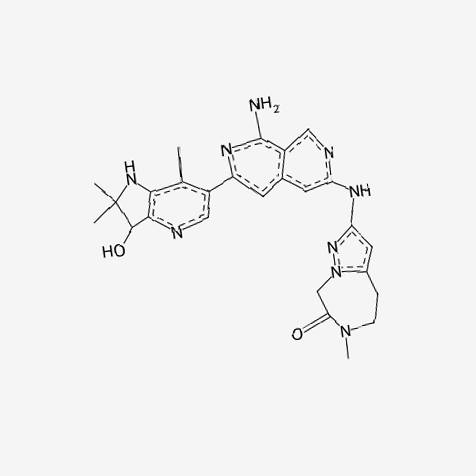 Cc1c(-c2cc3cc(Nc4cc5n(n4)CC(=O)N(C)CC5)ncc3c(N)n2)cnc2c1NC(C)(C)C2O